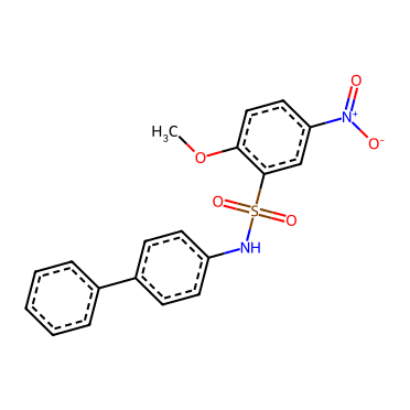 COc1ccc([N+](=O)[O-])cc1S(=O)(=O)Nc1ccc(-c2ccccc2)cc1